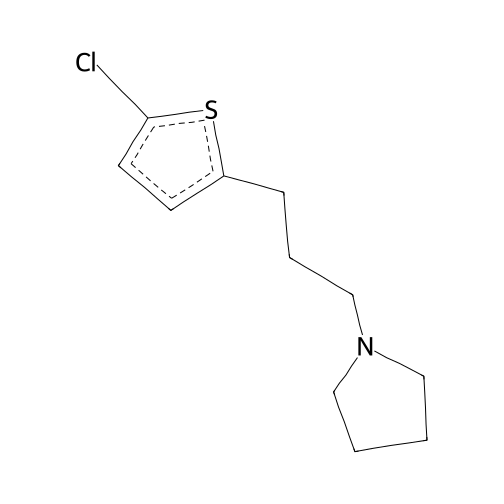 Clc1ccc(CCCN2CCCC2)s1